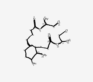 CCCCC1CCC(CCCC(=O)OC(O)CCl)C(CCC(=O)OC(O)CCl)C1CCC